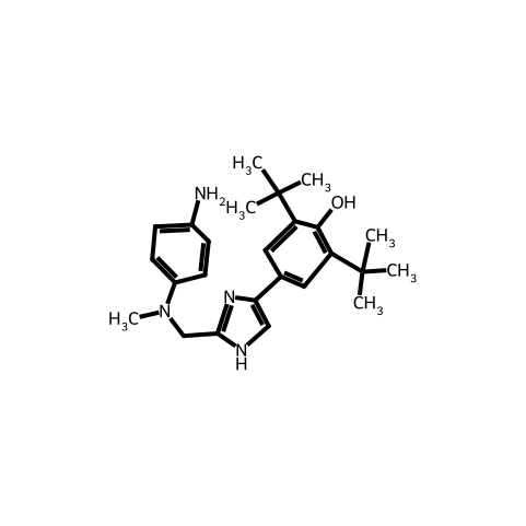 CN(Cc1nc(-c2cc(C(C)(C)C)c(O)c(C(C)(C)C)c2)c[nH]1)c1ccc(N)cc1